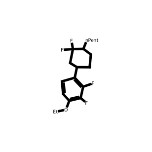 CCCCCC1CCC(c2ccc(OCC)c(F)c2F)CC1(F)F